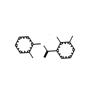 COc1c(C)cccc1C(=O)Oc1ccccc1C=O